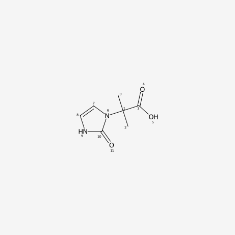 CC(C)(C(=O)O)n1cc[nH]c1=O